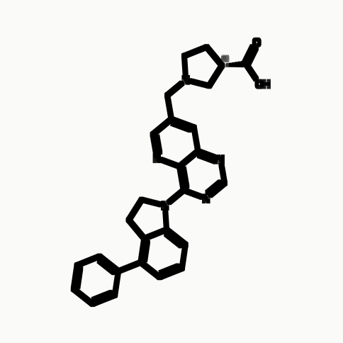 O=C(O)[C@H]1CCN(Cc2cnc3c(N4CCc5c(-c6ccccc6)cccc54)ncnc3c2)C1